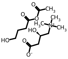 CC(=O)OC(=O)CCCO.C[N+](C)(C)C[C@H](O)CC(=O)[O-]